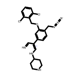 [N-]=[N+]=NCc1ccc(/C(C=N)=C/NC2CCNCC2)cc1OCc1c(Cl)cccc1Cl